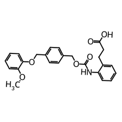 COc1ccccc1OCc1ccc(COC(=O)Nc2ccccc2CCC(=O)O)cc1